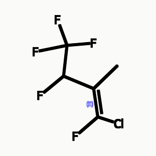 C/C(=C(/F)Cl)C(F)C(F)(F)F